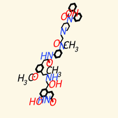 COc1ccc(CC(=O)Nc2cccc(N(C)C(=O)CCN3CCC(N(C(=O)O)c4ccccc4-c4ccccc4)CC3)c2)cc1CC(C)NC[C@H](O)c1ccc(O)c2[nH]c(=O)ccc12